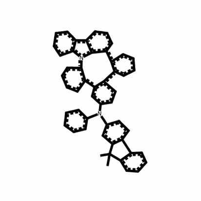 CC1(C)c2ccccc2-c2ccc(N(c3ccccc3)c3ccc4c5ccccc5c5cccc6c7ccccc7n(c7ccccc7c4c3)c56)cc21